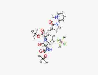 C[n+]1ccccc1N1CCC(=CC2=C(C(=O)OC(C)(C)C)N3C(=O)C(NC(=O)OC(C)(C)C)C3CC2)C1=O.F[B-](F)(F)F